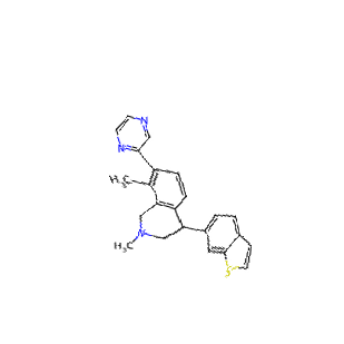 Cc1c(-c2cnccn2)ccc2c1CN(C)CC2c1ccc2ccsc2c1